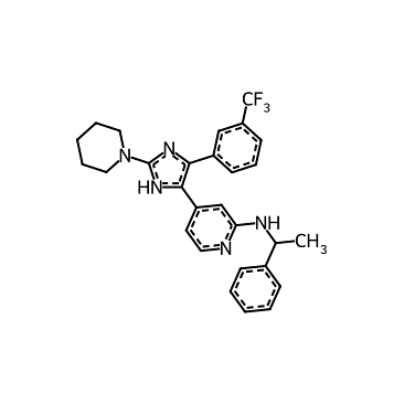 CC(Nc1cc(-c2[nH]c(N3CCCCC3)nc2-c2cccc(C(F)(F)F)c2)ccn1)c1ccccc1